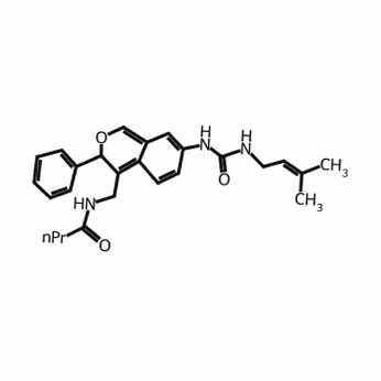 CCCC(=O)NCC1=c2ccc(NC(=O)NCC=C(C)C)cc2=COC1c1ccccc1